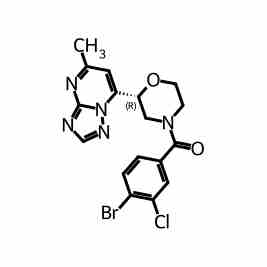 Cc1cc([C@H]2CN(C(=O)c3ccc(Br)c(Cl)c3)CCO2)n2ncnc2n1